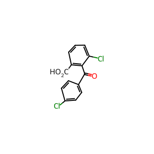 O=C(O)c1cccc(Cl)c1C(=O)c1ccc(Cl)cc1